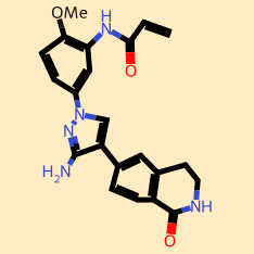 C=CC(=O)Nc1cc(-n2cc(-c3ccc4c(c3)CCNC4=O)c(N)n2)ccc1OC